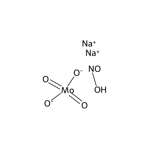 O=NO.[Na+].[Na+].[O]=[Mo](=[O])([O-])[O-]